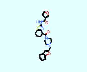 O=C(Nc1nc2c(s1)CCCC2C(=O)N1CCN(Cc2cc3ccccc3o2)CC1)c1ccoc1